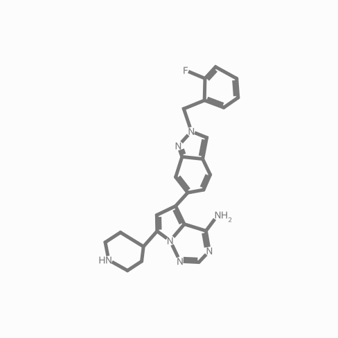 Nc1ncnn2c(C3CCNCC3)cc(-c3ccc4cn(Cc5ccccc5F)nc4c3)c12